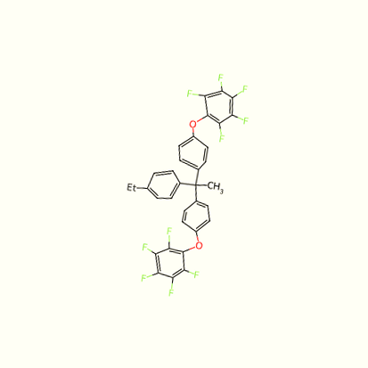 CCc1ccc(C(C)(c2ccc(Oc3c(F)c(F)c(F)c(F)c3F)cc2)c2ccc(Oc3c(F)c(F)c(F)c(F)c3F)cc2)cc1